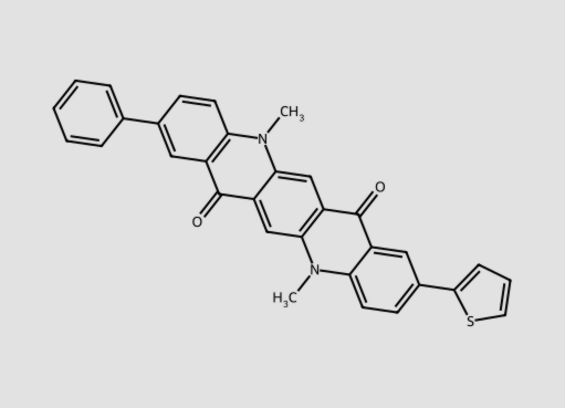 Cn1c2ccc(-c3ccccc3)cc2c(=O)c2cc3c(cc21)c(=O)c1cc(-c2cccs2)ccc1n3C